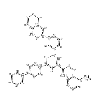 C=C(/C=C\c1ccccc1C)C1=NC(c2cccc(-c3cnc4c(c3)CCC=C4)c2)CC(c2ccc(-c3ccccc3)cc2)=N1